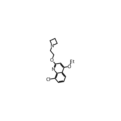 CCOc1cc(OCCN2CCC2)nc2c(Cl)cccc12